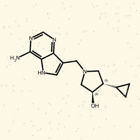 Nc1ncnc2c(CN3C[C@H](C4CC4)[C@@H](O)C3)c[nH]c12